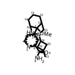 COC1(c2ccnc(C(N)=O)c2)C2CCCC1NN(C1CC(C)C1)C2